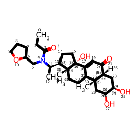 CCC(=O)N(CC1CCCO1)C(C)[C@H]1CC[C@@]2(O)C3=CC(=O)[C@@H]4C[C@@H](O)[C@@H](O)C[C@]4(C)C3CC[C@]12C